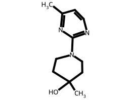 Cc1ccnc(N2CCC(C)(O)CC2)n1